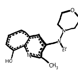 CCN(c1cc2cccc(O)c2nc1C)N1CCOCC1